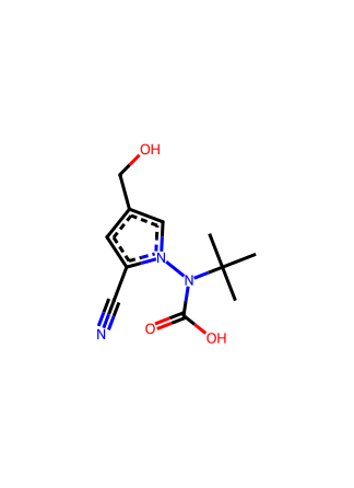 CC(C)(C)N(C(=O)O)n1cc(CO)cc1C#N